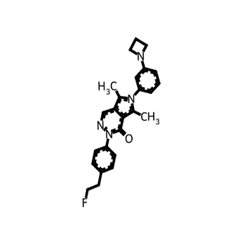 Cc1c2cnn(-c3ccc(CCF)cc3)c(=O)c2c(C)n1-c1cccc(N2CCC2)c1